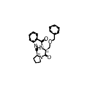 N#C[C@@H]1CCCN1C(=O)[C@H](COCc1ccccc1)NC(=O)c1ccccc1